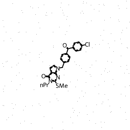 CCCn1c(SC)nc2c(ccn2Cc2ccc(C(=O)c3ccc(Cl)cc3)cc2)c1=O